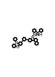 N=C(c1ccccc1)c1ccccc1NCn1c2cc(-c3cccc(-c4ccc5c(c4)N(c4ccccc4)c4ccccc4O5)c3)ccc2c2c3ccccc3ccc21